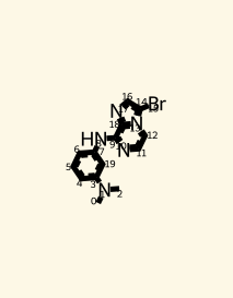 CN(C)c1cccc(Nc2nccn3c(Br)cnc23)c1